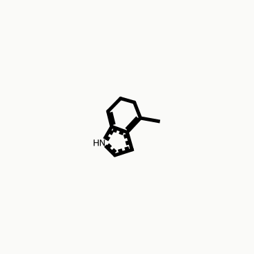 CC1=c2cc[nH]c2=CCC1